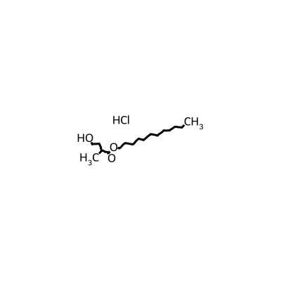 CCCCCCCCCCCCOC(=O)C(C)CCO.Cl